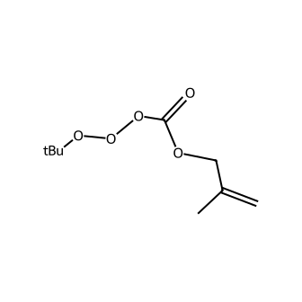 C=C(C)COC(=O)OOOC(C)(C)C